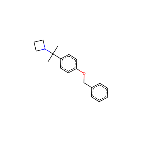 CC(C)(c1ccc(OCc2ccccc2)cc1)N1CCC1